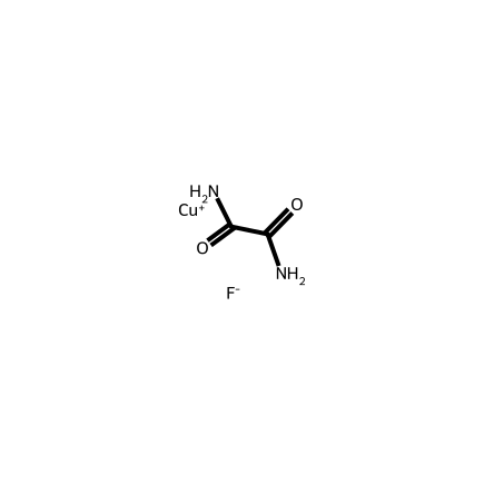 NC(=O)C(N)=O.[Cu+].[F-]